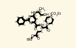 CCOC(=O)N1CCN(C(=O)[C@H](CCC(=O)OC(C)(C)C)NC(=O)c2cc(N[C@H](C)CO)nc(-c3ccccc3)n2)CC1